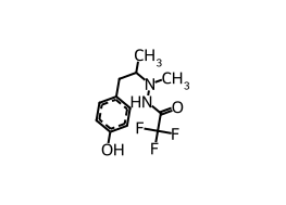 CC(Cc1ccc(O)cc1)N(C)NC(=O)C(F)(F)F